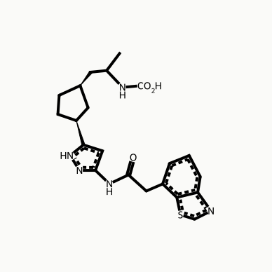 CC(C[C@@H]1CC[C@H](c2cc(NC(=O)Cc3cccc4ncsc34)n[nH]2)C1)NC(=O)O